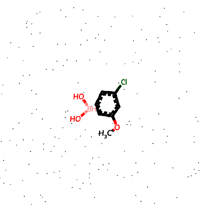 COc1cccc(Cl)c1.OBO